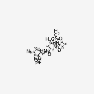 CC(C)C(=O)NC1(C(=O)N2CCC[C@@H](C(=O)NCc3ccc(C#N)cc3OC(F)(F)F)C2)CCC1